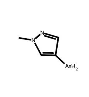 Cn1cc([AsH2])cn1